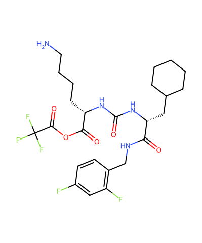 NCCCC[C@H](NC(=O)N[C@H](CC1CCCCC1)C(=O)NCc1ccc(F)cc1F)C(=O)OC(=O)C(F)(F)F